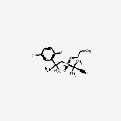 CC(N)(C[S@@](=O)(=NCCO)C(C)(C)C#N)c1cc(Br)ccc1F